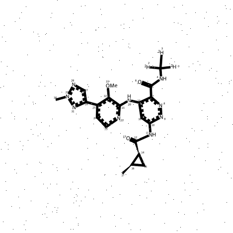 [2H]C([2H])([2H])NC(=O)c1nnc(NC(=O)[C@H]2C[C@H]2C)cc1Nc1nccc(-c2cnn(C)n2)c1OC